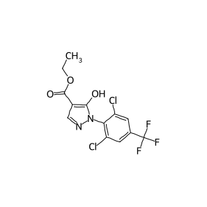 CCOC(=O)c1cnn(-c2c(Cl)cc(C(F)(F)F)cc2Cl)c1O